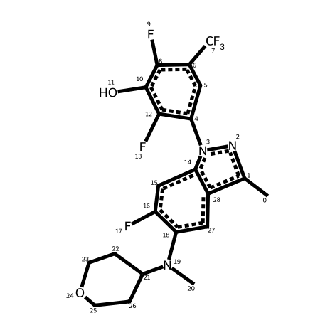 Cc1nn(-c2cc(C(F)(F)F)c(F)c(O)c2F)c2cc(F)c(N(C)C3CCOCC3)cc12